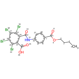 CCCCOC(=O)c1ccc(NC(=O)c2c(Br)c(Br)c(Br)c(Br)c2C(=O)O)cc1